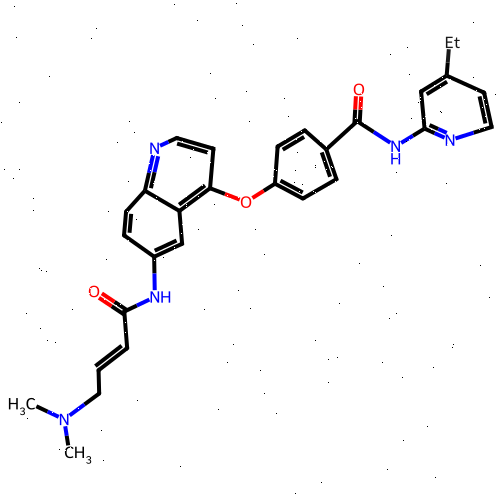 CCc1ccnc(NC(=O)c2ccc(Oc3ccnc4ccc(NC(=O)/C=C/CN(C)C)cc34)cc2)c1